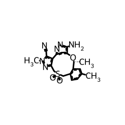 Cc1ccc2c(c1)[C@@H](C)Oc1cc(nnc1N)-c1c(nn(C)c1C#N)CS(=O)(=O)C2